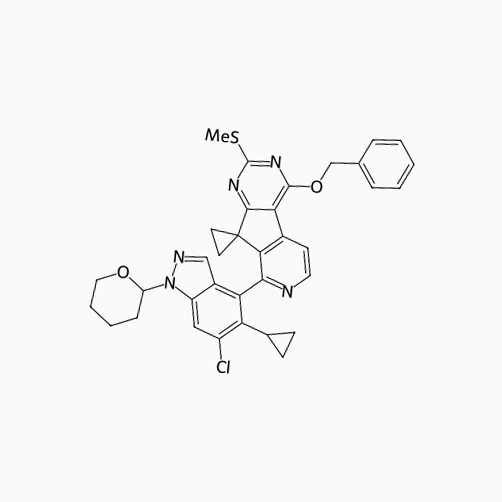 CSc1nc(OCc2ccccc2)c2c(n1)C1(CC1)c1c-2ccnc1-c1c(C2CC2)c(Cl)cc2c1cnn2C1CCCCO1